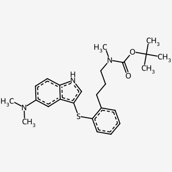 CN(CCCc1ccccc1Sc1c[nH]c2ccc(N(C)C)cc12)C(=O)OC(C)(C)C